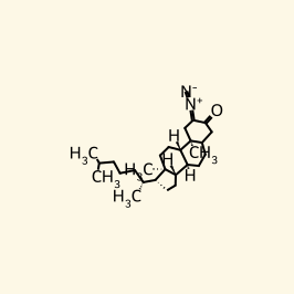 CC(C)CCC[C@@H](C)[C@H]1CC[C@H]2[C@@H]3CCC4CC(=O)C(=[N+]=[N-])C[C@]4(C)[C@H]3CC[C@]12C